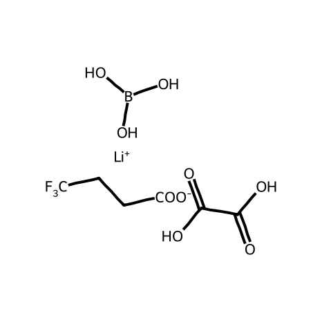 O=C(O)C(=O)O.O=C([O-])CCC(F)(F)F.OB(O)O.[Li+]